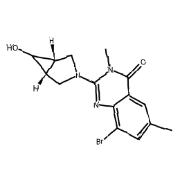 Cc1cc(Br)c2nc(N3C[C@@H]4C(O)[C@@H]4C3)n(C)c(=O)c2c1